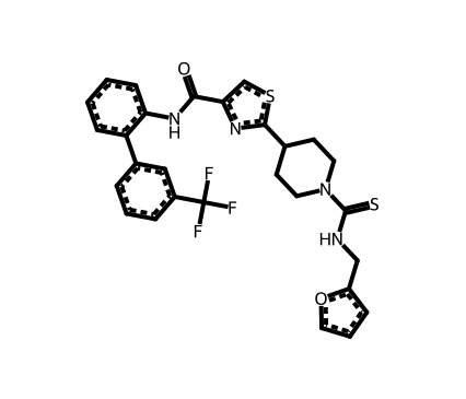 O=C(Nc1ccccc1-c1cccc(C(F)(F)F)c1)c1csc(C2CCN(C(=S)NCc3ccco3)CC2)n1